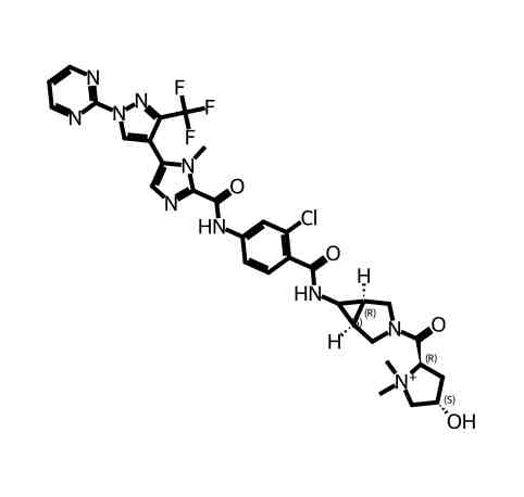 Cn1c(-c2cn(-c3ncccn3)nc2C(F)(F)F)cnc1C(=O)Nc1ccc(C(=O)NC2[C@H]3CN(C(=O)[C@H]4C[C@H](O)C[N+]4(C)C)C[C@@H]23)c(Cl)c1